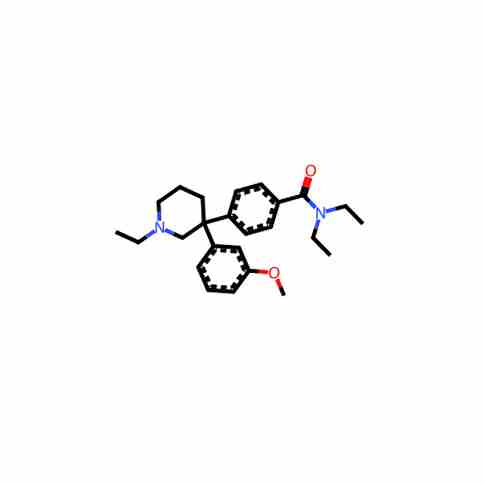 CCN1CCCC(c2ccc(C(=O)N(CC)CC)cc2)(c2cccc(OC)c2)C1